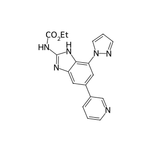 CCOC(=O)Nc1nc2cc(-c3cccnc3)cc(-n3cccn3)c2[nH]1